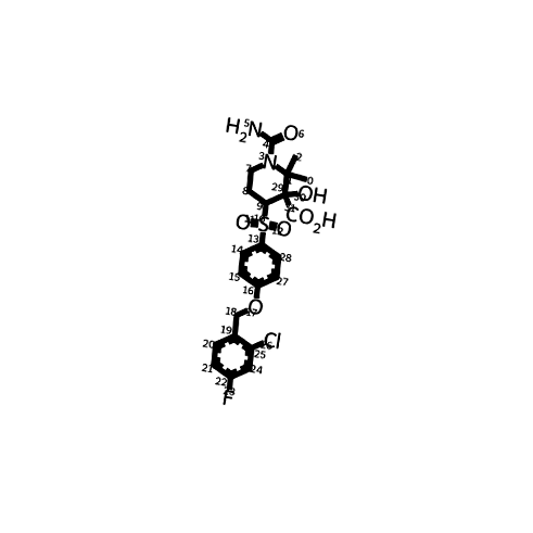 CC1(C)N(C(N)=O)CCC(S(=O)(=O)c2ccc(OCc3ccc(F)cc3Cl)cc2)C1(O)C(=O)O